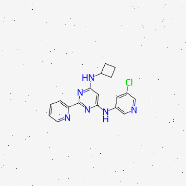 Clc1cncc(Nc2cc(NC3CCC3)nc(-c3ccccn3)n2)c1